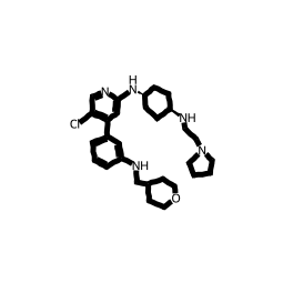 Clc1cnc(N[C@H]2CC[C@H](NCCN3CCCC3)CC2)cc1-c1cccc(NCC2CCOCC2)c1